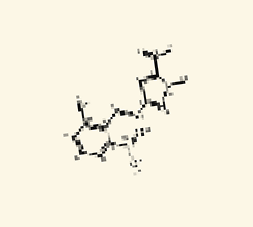 C=C(C)c1cc(/N=C/c2c(Br)cccc2[N+](=O)[O-])nn1C